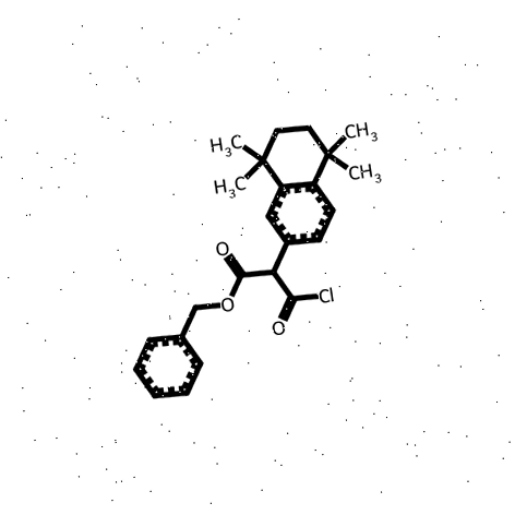 CC1(C)CCC(C)(C)c2cc(C(C(=O)Cl)C(=O)OCc3ccccc3)ccc21